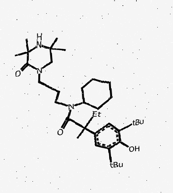 CCC(C)(C(=O)N(CCCN1CC(C)(C)NC(C)(C)C1=O)C1CCCCC1)c1cc(C(C)(C)C)c(O)c(C(C)(C)C)c1